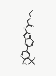 CCOCC(=O)Nc1cn2nc(-c3cnc(N)c(C(F)(F)F)c3)ccc2n1